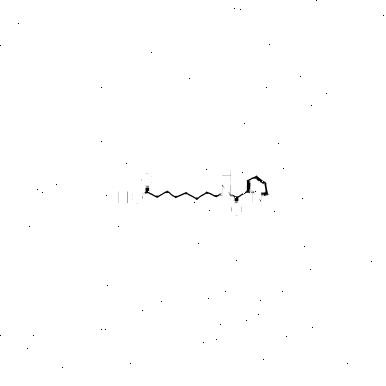 O=C(O)CCCCCCCNC(=O)c1ccccn1